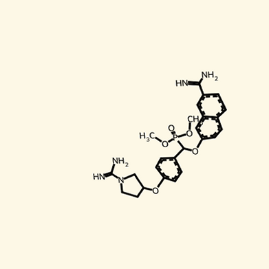 COP(=O)(OC)C(Oc1ccc2ccc(C(=N)N)cc2c1)c1ccc(OC2CCN(C(=N)N)C2)cc1